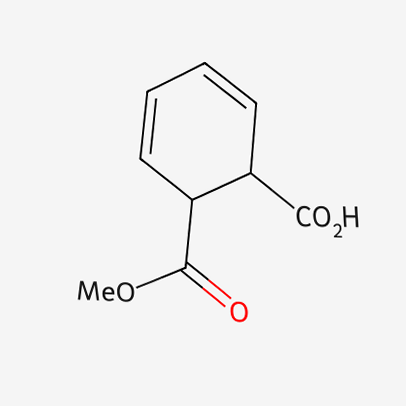 COC(=O)C1C=CC=CC1C(=O)O